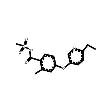 CCc1ccc(Oc2ccc(C(=O)NS(C)(=O)=O)c(C)c2)cn1